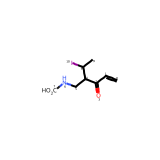 C=CC(=O)C(CNC(=O)O)C(C)I